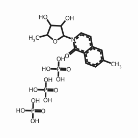 Cc1ccc2c(=O)n(C3OC(C)C(O)C3O)ccc2c1.O=P(O)(O)O.O=P(O)(O)O.O=P(O)(O)O